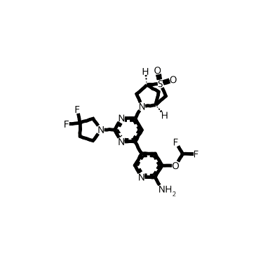 Nc1ncc(-c2cc(N3C[C@@H]4C[C@H]3CS4(=O)=O)nc(N3CCC(F)(F)C3)n2)cc1OC(F)F